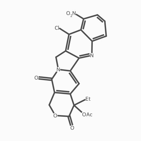 CCC1(OC(C)=O)C(=O)OCc2c1cc1n(c2=O)Cc2c-1nc1cccc([N+](=O)[O-])c1c2Cl